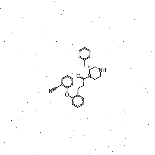 N#Cc1ccccc1Oc1ccccc1CCC(=O)N1CCNC[C@H]1Cc1ccccc1